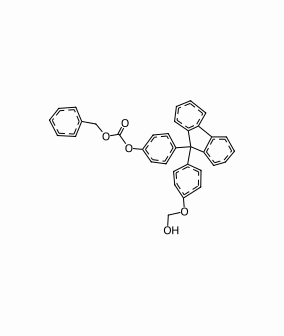 O=C(OCc1ccccc1)Oc1ccc(C2(c3ccc(OCO)cc3)c3ccccc3-c3ccccc32)cc1